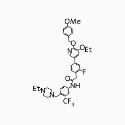 CCOc1cc(-c2ccc(CC(=O)Nc3ccc(CN4CCN(CC)CC4)c(C(F)(F)F)c3)c(F)c2)cnc1OCc1ccc(OC)cc1